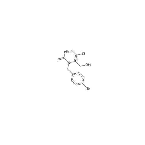 C=C(CCCC)N(Cc1ccc(Br)cc1)/C(CO)=C(\C)Cl